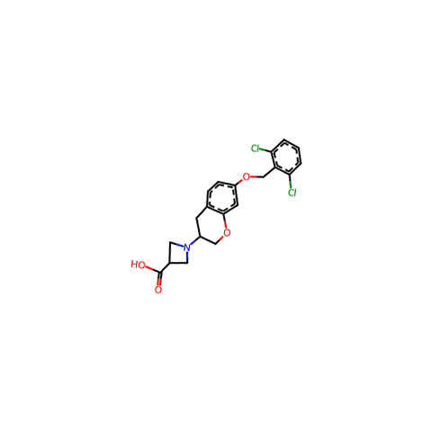 O=C(O)C1CN(C2COc3cc(OCc4c(Cl)cccc4Cl)ccc3C2)C1